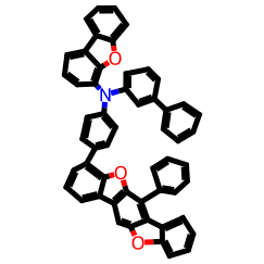 c1ccc(-c2cccc(N(c3ccc(-c4cccc5c4oc4c(-c6ccccc6)c6c(cc45)oc4ccccc46)cc3)c3cccc4c3oc3ccccc34)c2)cc1